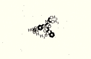 CCC1N=C([C@H](Cc2ccc(NS(=O)(=O)O)cc2)NC(=O)[C@H](Cc2ccccc2)C(=O)OC)SC1C